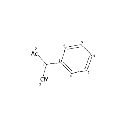 CC(=O)C(C#N)c1[c]cccc1